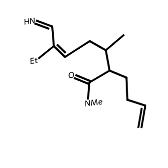 C=CCCC(C(=O)NC)C(C)C/C=C(\C=N)CC